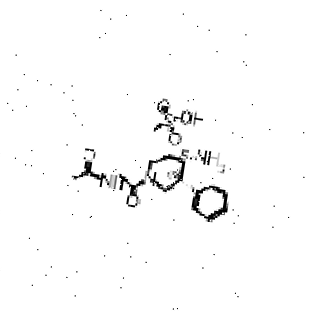 CC(=O)NCC(=O)N1CC[C@H](N)[C@H](c2ccccc2)C1.CS(=O)(=O)O